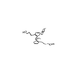 OCCCC1=[C]([Zr+2][C]2=C(CCCO)C=CC2)CC=C1.[Cl-].[Cl-]